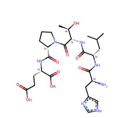 CC(C)C[C@H](NC(=O)[C@@H](N)Cc1c[nH]cn1)C(=O)N[C@H](C(=O)N1CCC[C@H]1C(=O)N[C@@H](CCC(=O)O)C(=O)O)[C@@H](C)O